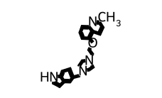 Cc1ccc2c(OCCN3CCN(Cc4ccc5[nH]ccc5c4)CC3)cccc2n1